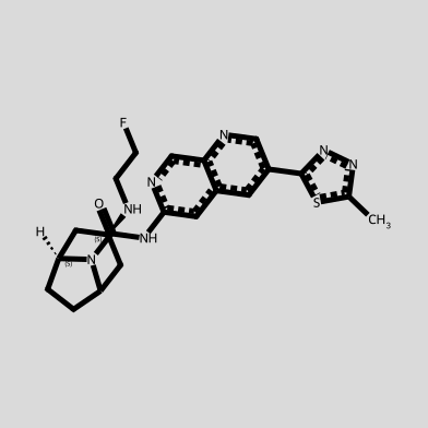 Cc1nnc(-c2cnc3cnc(NC(=O)N4C5CC[C@H]4C[C@@H](NCCF)C5)cc3c2)s1